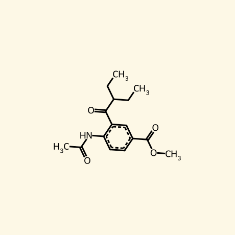 CCC(CC)C(=O)c1cc(C(=O)OC)ccc1NC(C)=O